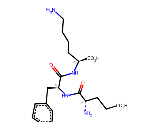 NCCCC[C@H](NC(=O)[C@H](Cc1ccccc1)NC(=O)[C@@H](N)CCC(=O)O)C(=O)O